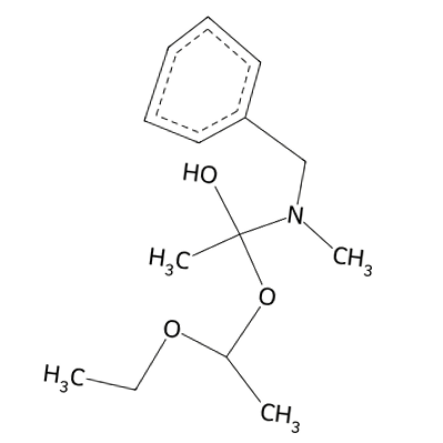 CCOC(C)OC(C)(O)N(C)Cc1ccccc1